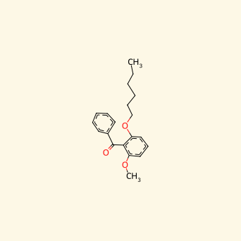 CCCCCCOc1cccc(OC)c1C(=O)c1ccccc1